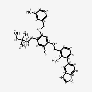 Cc1c(COc2cc(OCc3cncc(C#N)c3)c(CNC(C)(C)CO)cc2Cl)cccc1-c1ccc2ocnc2c1